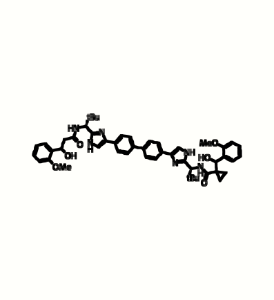 COc1ccccc1C(O)CC(=O)N[C@H](c1nc(-c2ccc(-c3ccc(-c4c[nH]c([C@@H](NC(=O)C5(C(O)c6ccccc6OC)CC5)C(C)(C)C)n4)cc3)cc2)c[nH]1)C(C)(C)C